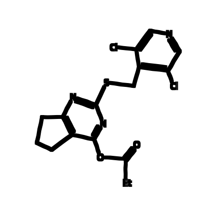 CCC(=O)Oc1nc(SCc2c(Cl)cncc2Cl)nc2c1CCC2